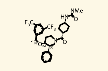 CNC(=O)N[C@H]1CC[C@H](C(=O)N2CC[C@H](O[C@H](C)c3cc(C(F)(F)F)cc(C(F)(F)F)c3)[C@H](c3ccccc3)C2)CC1